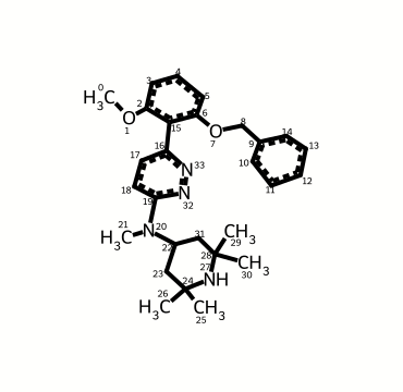 COc1cccc(OCc2ccccc2)c1-c1ccc(N(C)C2CC(C)(C)NC(C)(C)C2)nn1